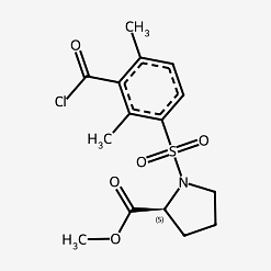 COC(=O)[C@@H]1CCCN1S(=O)(=O)c1ccc(C)c(C(=O)Cl)c1C